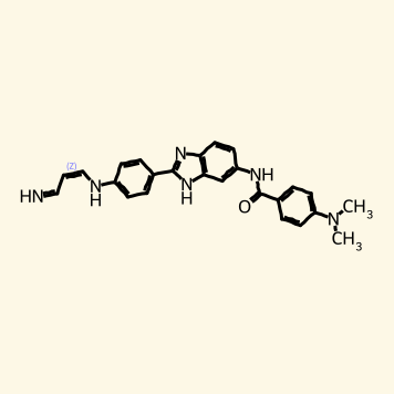 CN(C)c1ccc(C(=O)Nc2ccc3nc(-c4ccc(N/C=C\C=N)cc4)[nH]c3c2)cc1